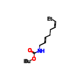 CC/C=C\CC/C=C/CNC(=O)OC(C)CC